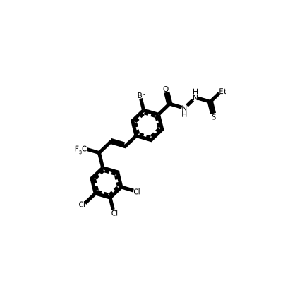 CCC(=S)NNC(=O)c1ccc(/C=C/C(c2cc(Cl)c(Cl)c(Cl)c2)C(F)(F)F)cc1Br